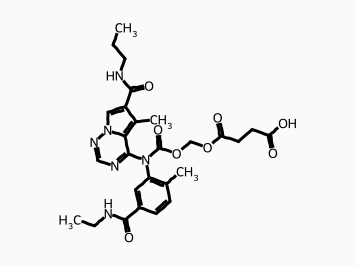 CCCNC(=O)c1cn2ncnc(N(C(=O)OCOC(=O)CCC(=O)O)c3cc(C(=O)NCC)ccc3C)c2c1C